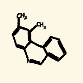 Cc1ccc2ncc3ccccc3c2c1C